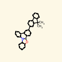 CC1(C)c2ccccc2-c2ccc(-c3ccc4c(c3)-c3ccccc3N3B4Oc4ccccc43)cc21